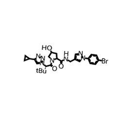 CC(C)(C)[C@@H](C(=O)N1CC(O)CC1C(=O)NCc1cnn(-c2ccc(Br)cc2)c1)n1cc(C2CC2)nn1